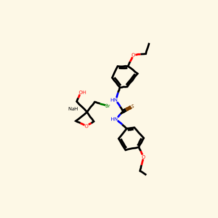 CCOc1ccc(NC(=S)Nc2ccc(OCC)cc2)cc1.OCC1(CBr)COC1.[NaH]